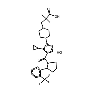 CC(C)(CN1CCC(n2ncc(C(=O)N3CCCC3c3ccccc3C(F)(F)F)c2C2CC2)CC1)C(=O)O.Cl